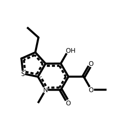 CCc1csc2c1c(O)c(C(=O)OC)c(=O)n2C